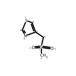 CS(=O)(=O)Cc1cscn1